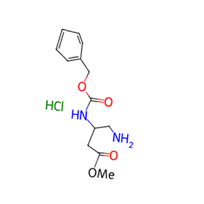 COC(=O)CC(CN)NC(=O)OCc1ccccc1.Cl